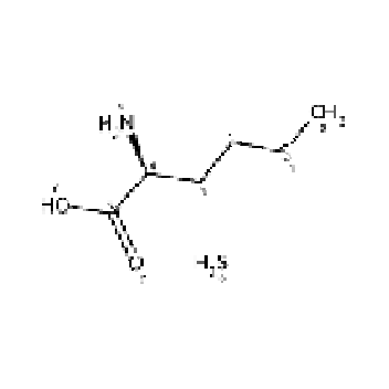 CSCC[C@H](N)C(=O)O.S